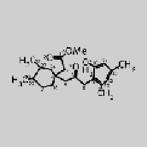 COC(=O)CC1(CC(=O)Cc2c(C)cc(C)cc2C)CCC(C)C(C)C1